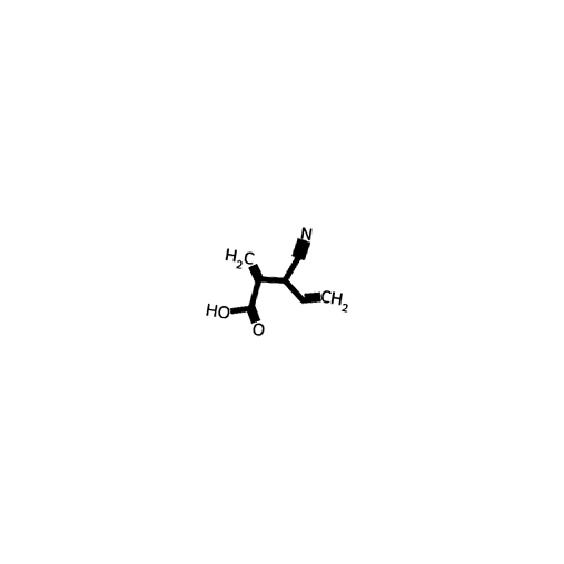 C=CC(C#N)C(=C)C(=O)O